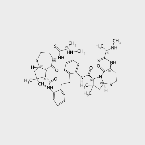 CN[C@@H](C)C(=S)N[C@H]1CCS[C@H]2CC(C)(C)[C@@H](C(=O)Nc3ccccc3CCc3ccccc3NC(=O)[C@H]3N4C(=O)[C@@H](NC(=S)[C@H](C)NC)CCS[C@H]4CC3(C)C)N2C1=O